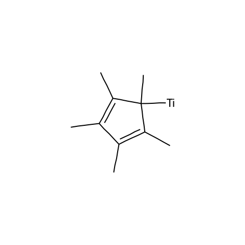 CC1=C(C)[C](C)([Ti])C(C)=C1C